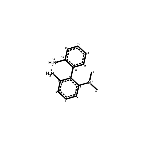 CN(C)c1cccc(N)c1-c1ccccc1N